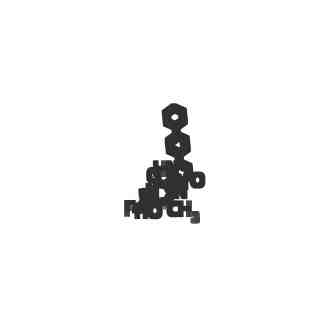 C[C@H](CO)c1nn2c(=O)cc(-c3ccc(C4CCCCC4)cc3)[nH]c2c1C(=O)N1CC(CF)C1